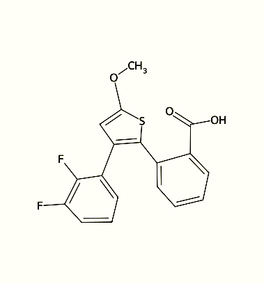 COc1cc(-c2cccc(F)c2F)c(-c2ccccc2C(=O)O)s1